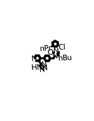 CCCCc1cn(-c2c(Cl)cccc2CCC)c(=O)n1Cc1ccc(-c2ccncc2-c2nnn[nH]2)cc1